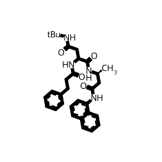 C[C@@H](CC(=O)Nc1cccc2ccccc12)NC(=O)C(CC(=O)NC(C)(C)C)NC(=O)CCc1ccccc1